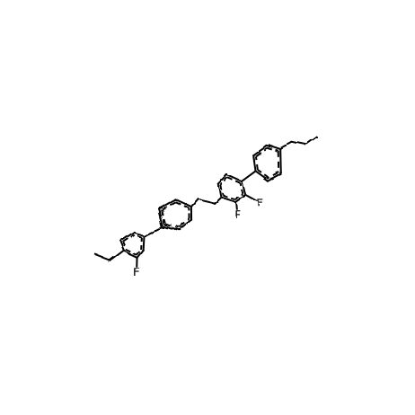 CCCc1ccc(-c2ccc(CCc3ccc(-c4ccc(CC)c(F)c4)cc3)c(F)c2F)cc1